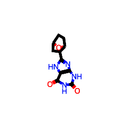 O=c1[nH]c(=O)c2[nH]c(C3CC4CCC3O4)nc2[nH]1